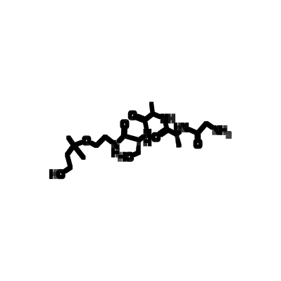 CC(NC(=O)[C@H](C)NC(=O)CN)C(=O)N[C@@H](CO)C(=O)NCCOC(C)(C)CCO